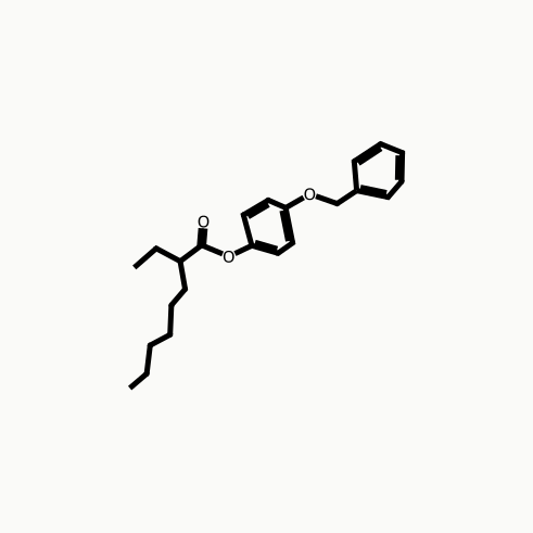 CCCCCCC(CC)C(=O)Oc1ccc(OCc2ccccc2)cc1